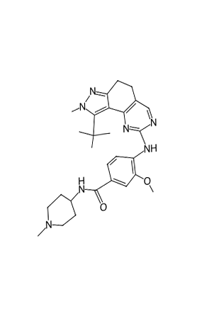 COc1cc(C(=O)NC2CCN(C)CC2)ccc1Nc1ncc2c(n1)-c1c(nn(C)c1C(C)(C)C)CC2